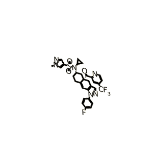 Cn1cc(S(=O)(=O)N(C2CC2)[C@H]2CCC3=Cc4c(cnn4-c4ccc(F)cc4)C[C@]3(C(=O)c3cc(C(F)(F)F)ccn3)C2)cn1